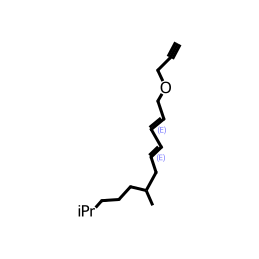 C#CCOC/C=C/C=C/CC(C)CCCC(C)C